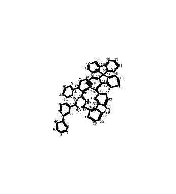 c1ccc(-c2cccc(-c3nc(-c4ccccc4-c4ccccc4)nc(-c4cccc5oc6ccc(-c7cccc8c7-c7ccccc7C87c8ccccc8-c8ccccc87)cc6c45)n3)c2)cc1